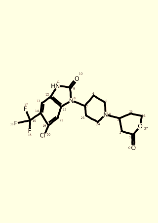 O=C1CC(N2CCC(n3c(=O)[nH]c4cc(C(F)(F)F)c(Cl)cc43)CC2)CCO1